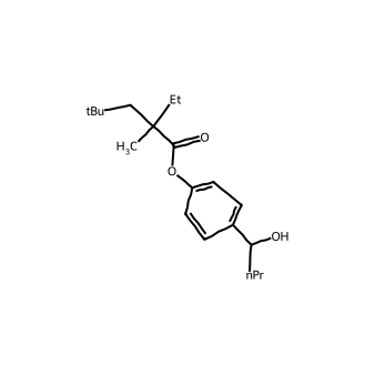 CCCC(O)c1ccc(OC(=O)C(C)(CC)CC(C)(C)C)cc1